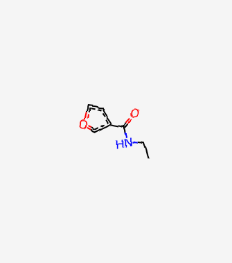 CCNC(=O)c1ccoc1